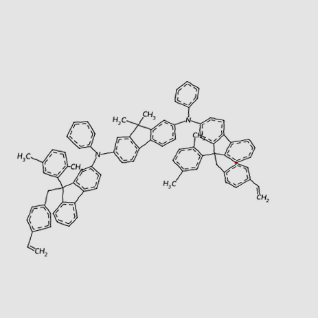 C=Cc1ccc(CC2(c3cc(C)ccc3C)c3ccccc3-c3ccc(N(c4ccccc4)c4ccc5c(c4)C(C)(C)c4cc(N(c6ccccc6)c6ccc7c(c6)C(Cc6ccc(C=C)cc6)(c6cc(C)ccc6C)c6ccccc6-7)ccc4-5)cc32)cc1